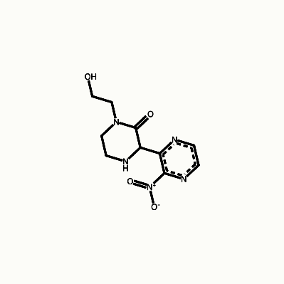 O=C1C(c2nccnc2[N+](=O)[O-])NCCN1CCO